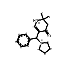 CC1(C)CC(=O)C(C(c2ccccc2)N2CCCC2)=CN1